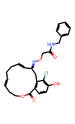 O=C(CO/N=C1/C=C/CC/C=C/CCOC(=O)c2ccc(O)c(Cl)c2C1)NCc1ccccc1